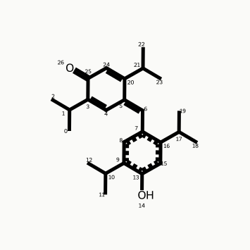 CC(C)C1=CC(=Cc2cc(C(C)C)c(O)cc2C(C)C)C(C(C)C)=CC1=O